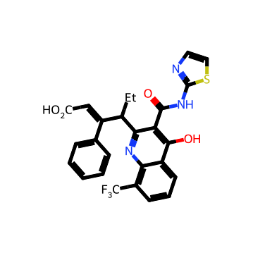 CCC(C(=CC(=O)O)c1ccccc1)c1nc2c(C(F)(F)F)cccc2c(O)c1C(=O)Nc1nccs1